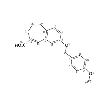 CCOc1ccc(COc2ccc3c(c2)C=C(C(=O)O)CCC3)cc1